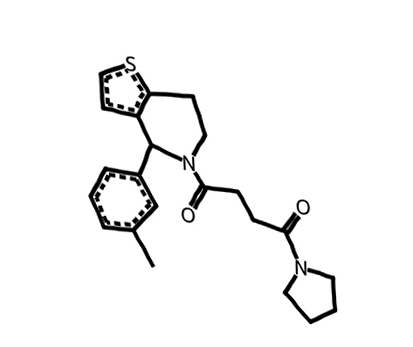 Cc1cccc(C2c3ccsc3CCN2C(=O)CCC(=O)N2CCCC2)c1